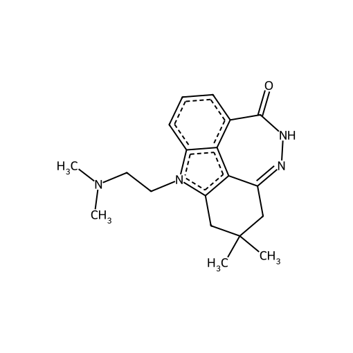 CN(C)CCn1c2c3c4c(cccc41)C(=O)NN=C3CC(C)(C)C2